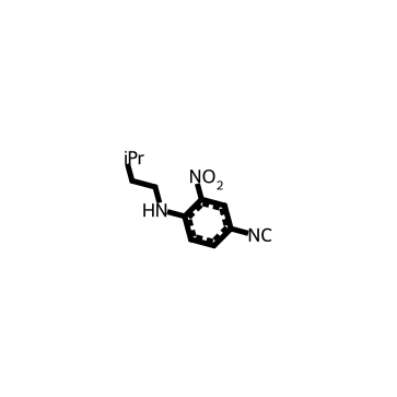 [C-]#[N+]c1ccc(NCCC(C)C)c([N+](=O)[O-])c1